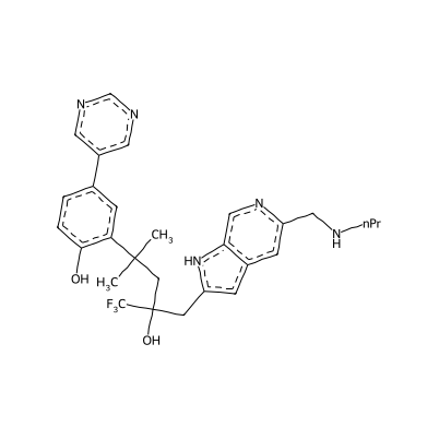 CCCNCc1cc2cc(CC(O)(CC(C)(C)c3cc(-c4cncnc4)ccc3O)C(F)(F)F)[nH]c2cn1